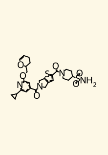 NS(=O)(=O)C1CCN(C(=O)c2cc3c(s2)CN(C(=O)c2cc(OCC4CCC=CO4)nc(C4CC4)c2)C3)CC1